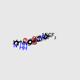 O=C(NCc1cccnc1)Nc1ccc(S(=O)(=O)N2CCN(c3ccc(C(F)(F)F)cn3)CC2)cc1